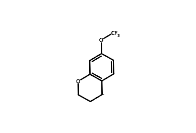 FC(F)(F)Oc1ccc2c(c1)OCC[CH]2